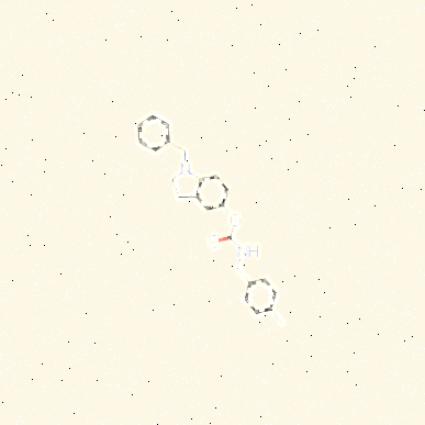 Cc1ccc(CNC(=O)Oc2ccc3c(c2)CCN3Cc2ccccc2)cc1